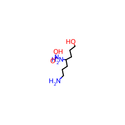 NCCCC(N)CCCO.O=NO